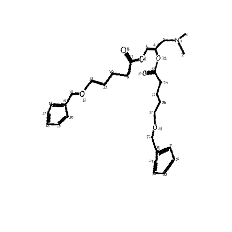 CN(C)CC(COC(=O)CCCCOCc1ccccc1)OC(=O)CCCCOCc1ccccc1